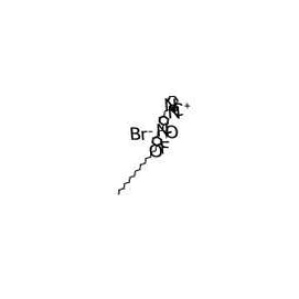 CCCCCCCCCCCCCCOc1ccc(CN(C(C)=O)c2ccc(CC3=N[C+]=C4C=CC=CN43)cc2)cc1F.[Br-]